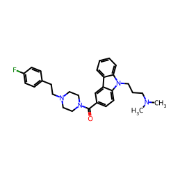 CN(C)CCCn1c2ccccc2c2cc(C(=O)N3CCN(CCc4ccc(F)cc4)CC3)ccc21